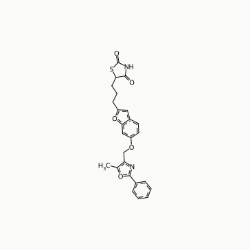 Cc1oc(-c2ccccc2)nc1COc1ccc2cc(CCCC3SC(=O)NC3=O)oc2c1